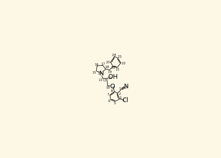 N#Cc1c(Cl)cccc1OCC(O)CN1CCCC1Cc1ccccc1